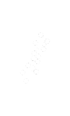 CCc1ccc(N(c2cccc(-c3cccc(-c4ccccc4C)c3)c2O)c2cc(C(C)C)c3ccc4c(N(c5ccc(CC)cc5)c5cccc6c5oc5c(-c7ccccc7C)cccc56)cc(C(C)C)c5ccc2c3c54)cc1